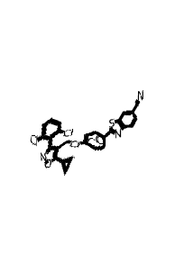 N#Cc1ccc2nc(C34CCC(OCc5c(-c6c(Cl)cccc6Cl)noc5C5CC5)(CC3)CC4)sc2c1